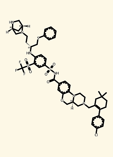 CC1(C)CCC(c2ccc(Cl)cc2)=C(CN2CCN3c4ccc(C(=O)NS(=O)(=O)c5ccc(N[C@H](CCN6C[C@H]7C[C@@H]6CN7)CSc6ccccc6)c(S(=O)(=O)C(F)(F)F)c5)cc4OC[C@@H]3C2)C1